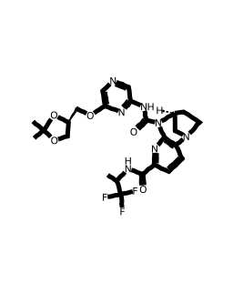 CC(NC(=O)c1ccc2c(n1)N(C(=O)Nc1cncc(OC[C@H]3COC(C)(C)O3)n1)[C@H]1CCN2C1)C(F)(F)F